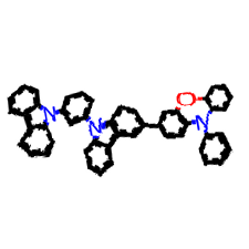 c1ccc(N2c3ccccc3Oc3cc(-c4ccc5c(c4)c4ccccc4n5-c4cccc(-n5c6ccccc6c6ccccc65)c4)ccc32)cc1